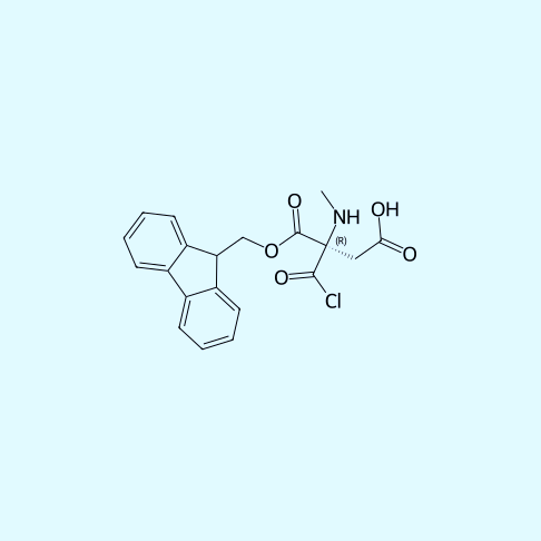 CN[C@@](CC(=O)O)(C(=O)Cl)C(=O)OCC1c2ccccc2-c2ccccc21